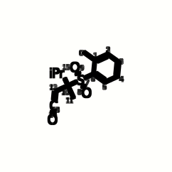 Cc1ccccc1S(=O)(=O)C(C)(C=C=O)C(C)C